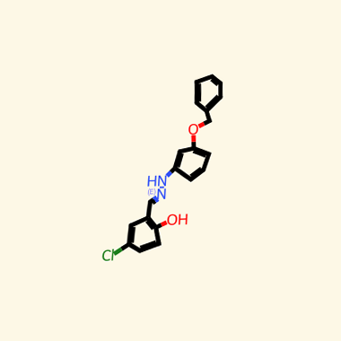 Oc1ccc(Cl)cc1/C=N/Nc1cccc(OCc2ccccc2)c1